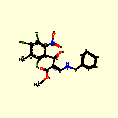 COC(=O)/C(=C/NCc1ccccc1)C(=O)c1c(F)c(C)c(F)c(F)c1[N+](=O)[O-]